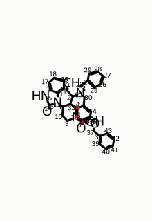 CCC(C1CN(C(=O)O)CCC1n1c(=O)[nH]c2ccccc21)N(Cc1ccccc1)Cc1cccc(OCc2ccccc2)c1